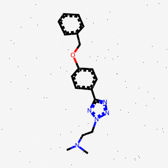 CN(C)CCn1nnc(-c2ccc(OCc3ccccc3)cc2)n1